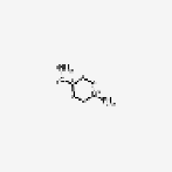 NOC1CCN(P)CC1